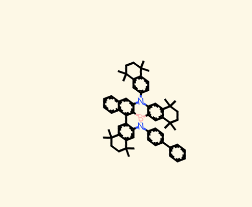 CC1(C)CCC(C)(C)c2cc(N3c4cc5c(cc4B4c6c3cc3ccccc3c6-c3cc6c(cc3N4c3ccc(-c4ccccc4)cc3)C(C)(C)CCC6(C)C)C(C)(C)CCC5(C)C)ccc21